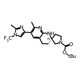 Cc1nc2c(cc1-c1cn(C(F)(F)F)c(C)n1)CC[C@@]1(CCN(C(=O)OC(C)(C)C)C1)N2